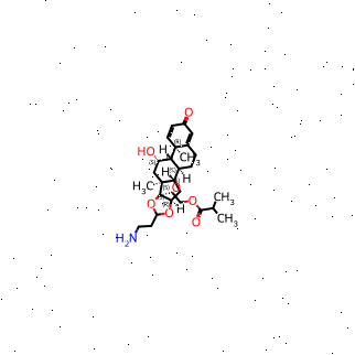 CC(C)C(=O)OCC(=O)[C@@]12OC(CCN)O[C@@H]1C[C@H]1[C@@H]3CCC4=CC(=O)C=C[C@]4(C)[C@H]3[C@@H](O)C[C@@]12C